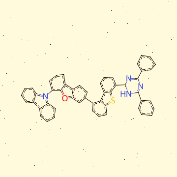 c1ccc(C2=NC(c3cccc4c3sc3cccc(-c5ccc6c(c5)oc5c(-n7c8ccccc8c8ccccc87)cccc56)c34)NC(c3ccccc3)=N2)cc1